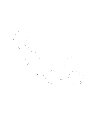 c1cc2c3c(cccc3c1)-c1cc(Nc3ccc4c(c3)sc3ccccc34)ccc1-2